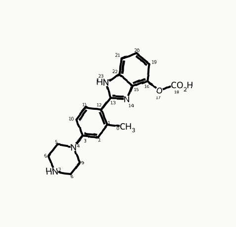 Cc1cc(N2CCNCC2)ccc1-c1nc2c(OC(=O)O)cccc2[nH]1